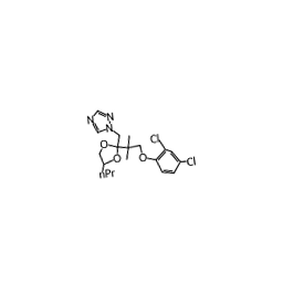 CCCC1COC(Cn2cncn2)(C(C)(C)COc2ccc(Cl)cc2Cl)O1